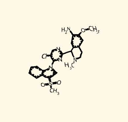 COc1cc2c(cc1N)C(c1ncc(Cl)c(-n3cc(S(C)(=O)=O)c4ccccc43)n1)N(C)CC2